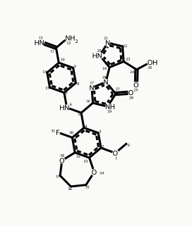 COc1cc(C(Nc2ccc(C(=N)N)cc2)c2nn(-c3[nH]ncc3C(=O)O)c(=O)[nH]2)c(F)c2c1OCCCO2